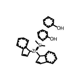 C[Si](C)=[Zr]([CH]1C=Cc2ccccc21)[CH]1C=Cc2ccccc21.Oc1ccccc1.Oc1ccccc1